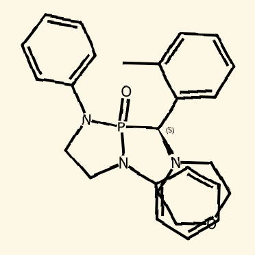 Cc1ccccc1[C@@H](N1CCOCC1)P1(=O)N(c2ccccc2)CCN1c1ccccc1